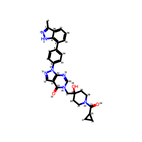 Cc1n[nH]c2c(-c3ccc(-n4ncc5c(=O)n(CC6(O)CCN(C(=O)C7CC7)CC6)cnc54)cc3)cccc12